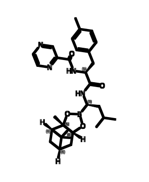 Cc1ccc(C[C@H](NC(=O)c2cnccn2)C(=O)N[C@@H](CC(C)C)B2O[C@@H]3C[C@@H]4C[C@@H](C4(C)C)[C@]3(C)O2)cc1